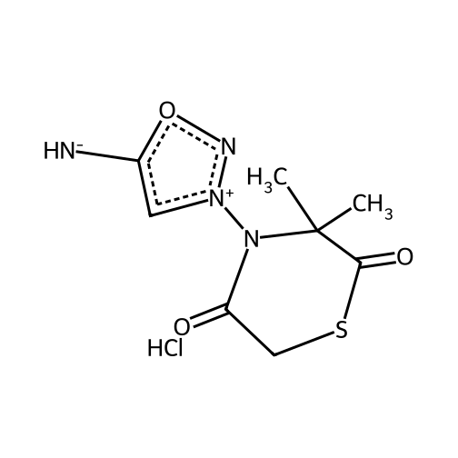 CC1(C)C(=O)SCC(=O)N1[n+]1cc([NH-])on1.Cl